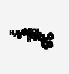 CC(C)(NC(=O)c1ccc2c(C3CCCCC3)c3n(c2c1)CCOc1ccccc1-3)c1nc2ccc(C(N)=O)cc2[nH]1